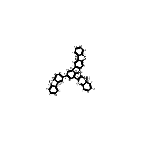 C1=CC2=Nc3c(n4c5cc6sc7ccccc7c6cc5c5cc(-c6ccc7oc8ccccc8c7c6)cc3c54)NC2C=C1